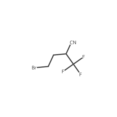 N#CC(CCBr)C(F)(F)F